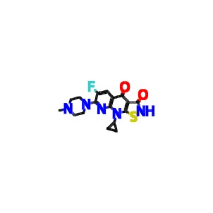 CN1CCN(c2nc3c(cc2F)c(=O)c2c(=O)[nH]sc2n3C2CC2)CC1